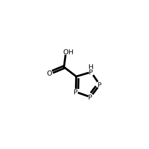 O=C(O)c1ppp[pH]1